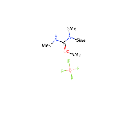 CSNC(=[O+]SC)N(SC)SC.F[B-](F)(F)F